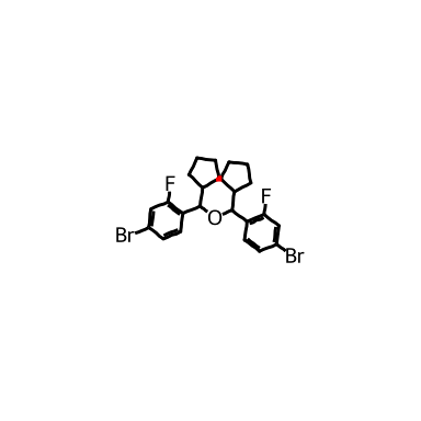 Fc1cc(Br)ccc1C(OC(c1ccc(Br)cc1F)C1CCCC1)C1CCCC1